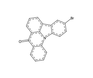 O=c1c2ccccc2n2c3ccc(Br)cc3c3cccc1c32